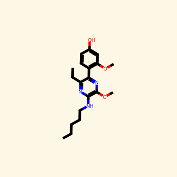 CCCCCNc1nc(CC)c(-c2ccc(O)cc2OC)nc1OC